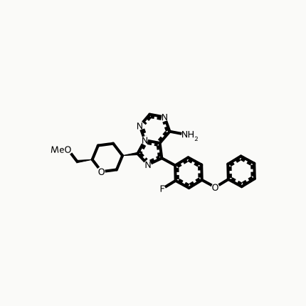 COC[C@H]1CC[C@@H](c2nc(-c3ccc(Oc4ccccc4)cc3F)c3c(N)ncnn23)CO1